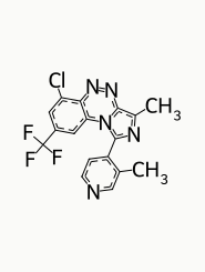 Cc1cnccc1-c1nc(C)c2nnc3c(Cl)cc(C(F)(F)F)cc3n12